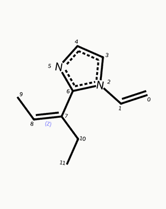 C=Cn1ccnc1/C(=C\C)CC